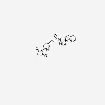 CN(Cc1cc2ccccc2n1C)C(=O)C=Cc1ccc(N2C(=O)CCC2=O)nc1